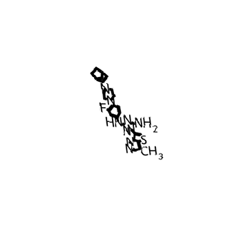 Cc1cnnc2c(-n3nc(Nc4ccc(N5CCN(C6CC7CCC6C7)CC5)c(F)c4)nc3N)csc12